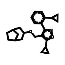 c1ccc(C2CC2)c(-c2noc(C3CC3)c2COC2CC3CCC(C3)C2)c1